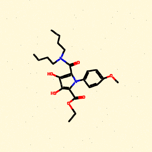 CCCCN(CCCC)C(=O)c1c(O)c(O)c(C(=O)OCC)n1-c1ccc(OC)cc1